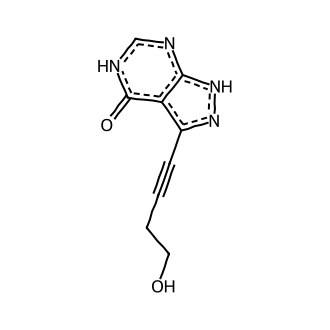 O=c1[nH]cnc2[nH]nc(C#CCCO)c12